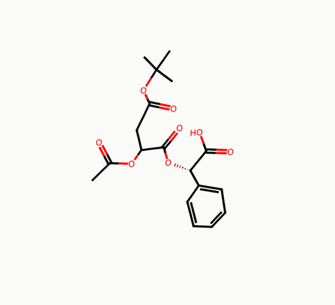 CC(=O)OC(CC(=O)OC(C)(C)C)C(=O)O[C@H](C(=O)O)c1ccccc1